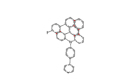 Fc1ccc(-c2cccc3cccc(-c4ccccc4N(c4ccc(-c5ccccc5)cc4)c4cccc(-c5ccccc5)c4)c23)cc1